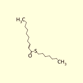 CCCCCCC/C=C/C(=O)SCCCCCCC